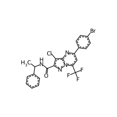 CC(NC(=O)c1nn2c(C(F)(F)F)cc(-c3ccc(Br)cc3)nc2c1Cl)c1ccccc1